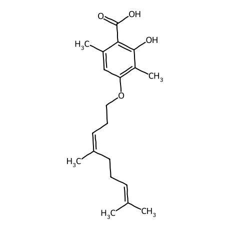 CC(C)=CCCC(C)=CCCOc1cc(C)c(C(=O)O)c(O)c1C